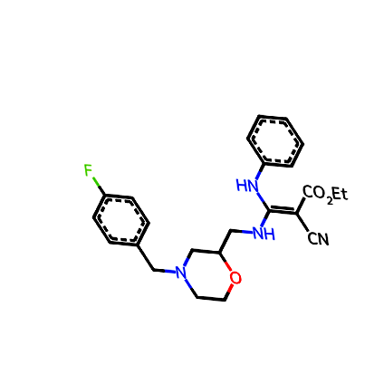 CCOC(=O)/C(C#N)=C(/NCC1CN(Cc2ccc(F)cc2)CCO1)Nc1ccccc1